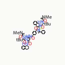 CN[C@@H](C)C(=O)NC(C(=O)N1Cc2ccccc2C[C@H]1CN(C(=O)c1ccc(C(=O)N[C@H]2C[C@@H](C(=O)NC3CCCc4ccccc43)N(C(=O)[C@@H](NC(=O)[C@H](C)NC)C(C)(C)C)C2)cc1)[C@H](C)c1ccccc1F)C(C)(C)C